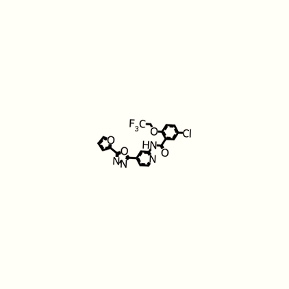 O=C(Nc1cc(-c2nnc(-c3ccco3)o2)ccn1)c1cc(Cl)ccc1OCC(F)(F)F